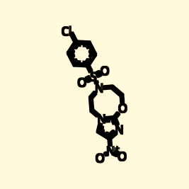 O=[N+]([O-])c1cn2c(n1)OCCN(S(=O)(=O)c1ccc(Cl)cc1)CC2